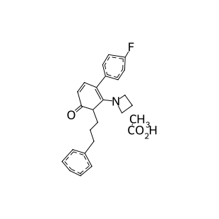 CC(=O)O.O=C1C=CC(c2ccc(F)cc2)=C(N2CCC2)C1CCCc1ccccc1